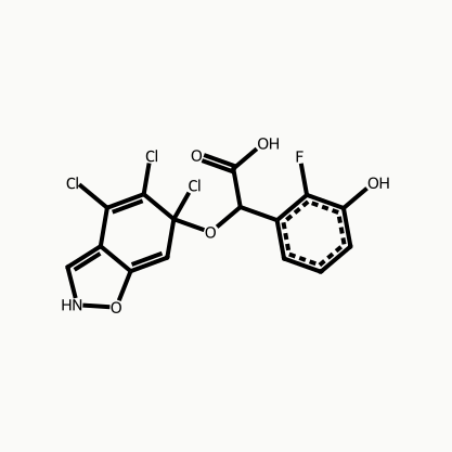 O=C(O)C(OC1(Cl)C=C2ONC=C2C(Cl)=C1Cl)c1cccc(O)c1F